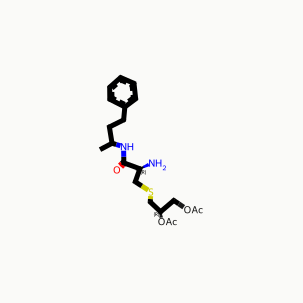 CC(=O)OC[C@H](CSC[C@H](N)C(=O)NC(C)CCc1ccccc1)OC(C)=O